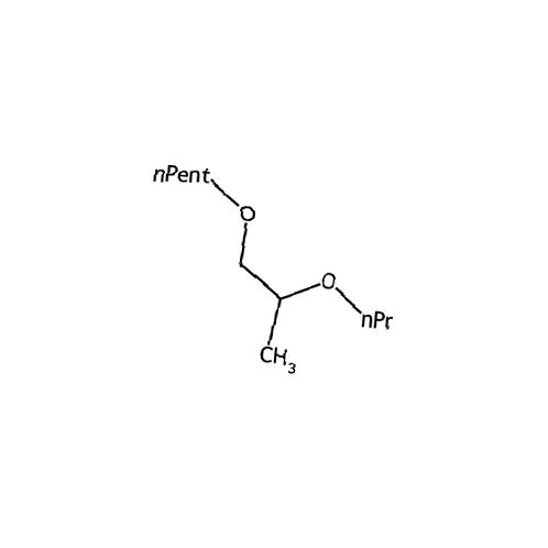 CCCCCOCC(C)OCCC